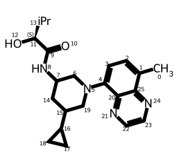 Cc1ccc(N2CC(NC(=O)[C@@H](O)C(C)C)CC(C3CC3)C2)c2nccnc12